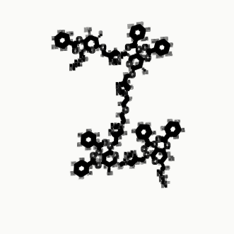 C[C@@H]1[C@@H](OCc2cn(C[C@H]3O[C@H](OCc4cn(CCOCCn5cc(CO[C@H]6O[C@H](Cn7cc(CO[C@H]8O[C@H](CN=[N+]=[N-])[C@@H](C)[C@H](OC(=O)c9ccccc9)[C@@H]8OC(=O)c8ccccc8)nn7)[C@@H](C)[C@H](OC(=O)c7ccccc7)[C@@H]6OC(=O)c6ccccc6)nn5)nn4)[C@@H](C)[C@@H](OC(=O)c4ccccc4)[C@@H]3OC(=O)c3ccccc3)nn2)O[C@H](CN=[N+]=[N-])[C@@H](OC(=O)c2ccccc2)[C@@H]1C